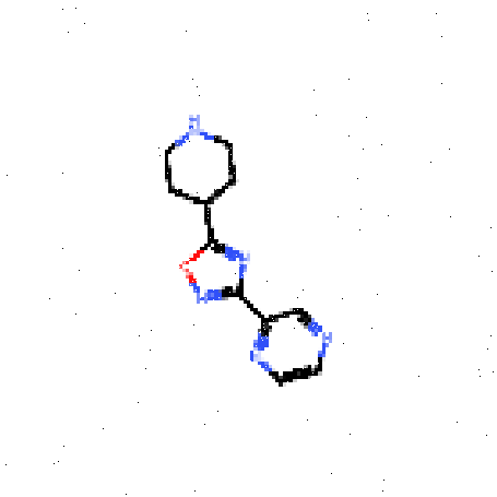 c1cnc(-c2noc(C3CCNCC3)n2)cn1